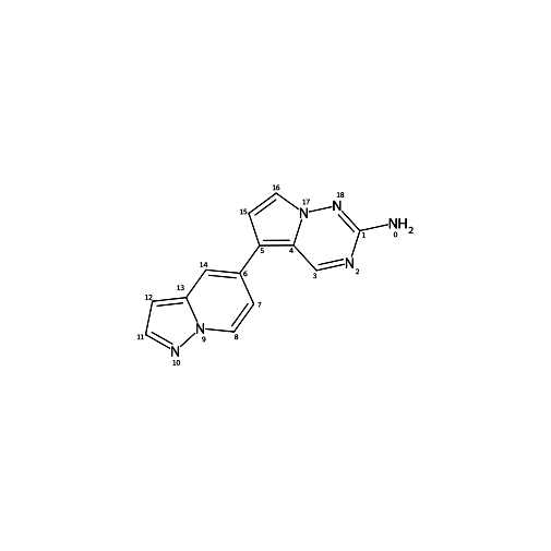 Nc1ncc2c(-c3ccn4nccc4c3)ccn2n1